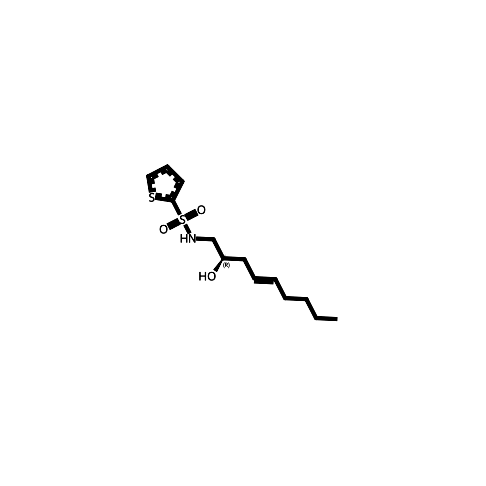 CCCCC=CC[C@@H](O)CNS(=O)(=O)c1cccs1